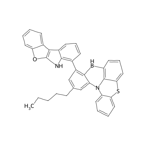 CCCCCc1cc(-c2cccc3c2[nH]c2oc4ccccc4c23)c2c(c1)N1c3ccccc3Sc3cccc(c31)B2